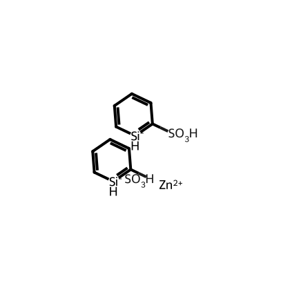 O=S(=O)(O)C1=[SiH-]C=CC=C1.O=S(=O)(O)C1=[SiH-]C=CC=C1.[Zn+2]